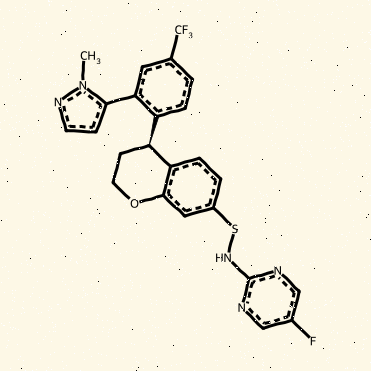 Cn1nccc1-c1cc(C(F)(F)F)ccc1[C@@H]1CCOc2cc(SNc3ncc(F)cn3)ccc21